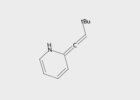 CC(C)(C)C=C=C1C=CC=CN1